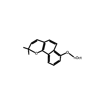 CCCCCCCCOc1cccc2c3c(ccc12)C=CC(C)(C)O3